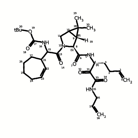 C=CCC[C@@H](NC(=O)[C@@H]1[C@@H]2C(CN1C(=O)C(NC(=O)OC(C)(C)C)C1C=CCCCC1)C2(C)C)C(=O)C(=O)NCC=C